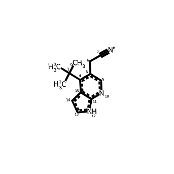 CC(C)(C)c1c(CC#N)cnc2[nH]ccc12